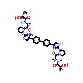 CC(C)[C@H](O)C(=O)N[C@@H](C)C(=O)N1CCC[C@H]1c1nc(-c2ccc(-c3ccc(-c4cnc([C@@H]5CCCN5C(=O)[C@H](C)NC(=O)[C@@H](O)C(C)C)[nH]4)cc3)cc2)c[nH]1